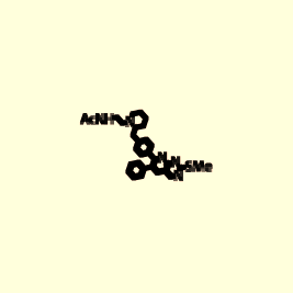 CSc1ncc2cc(-c3ccccc3)c(-c3ccc(CC4CCCCN4CCNC(C)=O)cc3)nc2n1